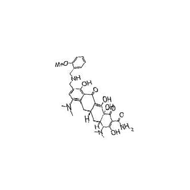 COc1ccccc1CNCc1cc(N(C)C)c2c(c1O)C(=O)C1=C(O)[C@]3(O)C(=O)C(C(N)=O)=C(O)C(N(C)C)[C@@H]3C[C@@H]1C2